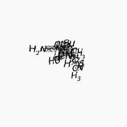 Cc1ncsc1-c1ccc([C@H](C)NC(=O)[C@@H]2C[C@@H](O)CN2C(=O)C(NC(=O)CCCCN)C(C)(C)C)cc1